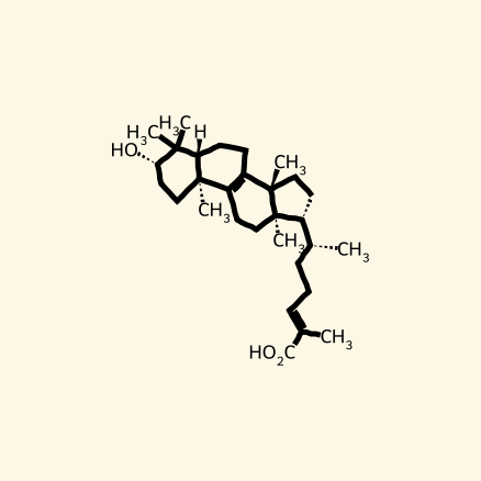 C/C(=C\CC[C@@H](C)[C@H]1CC[C@@]2(C)C3=C(CC[C@]12C)[C@@]1(C)CC[C@H](O)C(C)(C)[C@@H]1CC3)C(=O)O